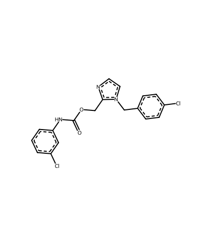 O=C(Nc1cccc(Cl)c1)OCc1nccn1Cc1ccc(Cl)cc1